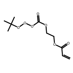 C=CC(=O)OCCOC(=O)OOOC(C)(C)C